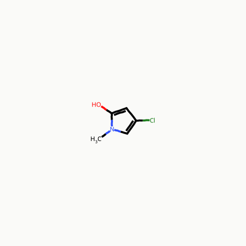 Cn1cc(Cl)cc1O